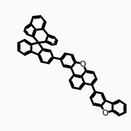 c1ccc2c(c1)-c1ccc(-c3ccc4c(c3)-c3cccc5c(-c6ccc7oc8ccccc8c7c6)ccc(c35)O4)cc1C21c2ccccc2-c2cccc3cccc1c23